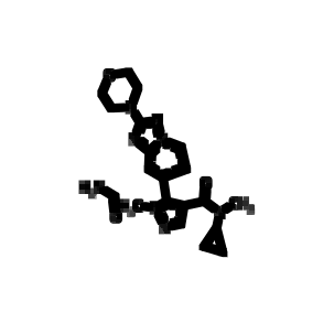 CN(C(=O)c1cnn(C)c1-c1ccn2nc(N3CCOCC3)nc2c1)C1CC1.NC=O